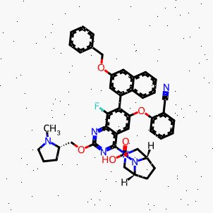 CN1CCC[C@H]1COc1nc(N2C[C@H]3CC[C@@H](C2)N3C(=O)O)c2cc(Oc3ccccc3C#N)c(-c3cc(OCc4ccccc4)cc4ccccc34)c(F)c2n1